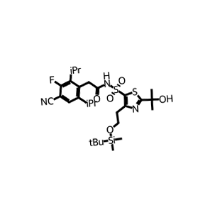 CC(C)c1cc(C#N)c(F)c(C(C)C)c1CC(=O)NS(=O)(=O)c1sc(C(C)(C)O)nc1CCO[Si](C)(C)C(C)(C)C